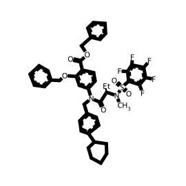 CC[C@@H](C(=O)N(Cc1ccc(C2CCCCC2)cc1)c1ccc(C(=O)OCc2ccccc2)c(OCc2ccccc2)c1)N(C)S(=O)(=O)c1c(F)c(F)c(F)c(F)c1F